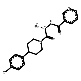 CC[C@@H](C)[C@@H](NC(=O)c1cccnc1)C(=O)N1CCC(c2ccc(Cl)cc2)CC1